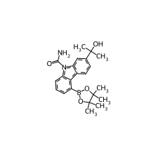 CC(C)(O)c1ccc2c3c(B4OC(C)(C)C(C)(C)O4)cccc3n(C(N)=O)c2c1